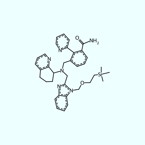 C[Si](C)(C)CCOCn1c(CN(Cc2cccc(C(N)=O)c2-c2ccccn2)C2CCCc3cccnc32)nc2ccccc21